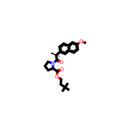 COc1ccc2cc([C@H](C)C(=O)N3CCCC3C(=O)OCCC(C)(C)C)ccc2c1